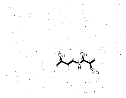 CC(O)CCNC(O)C(C)N